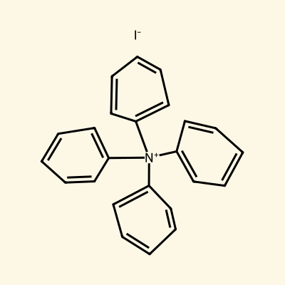 [I-].c1ccc([N+](c2ccccc2)(c2ccccc2)c2ccccc2)cc1